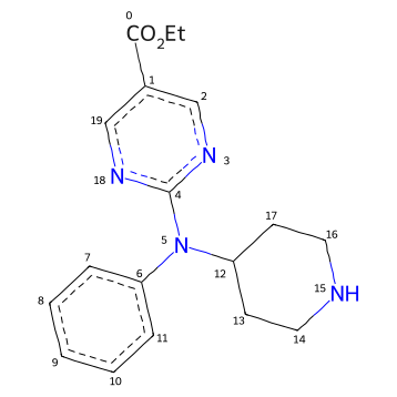 CCOC(=O)c1cnc(N(c2ccccc2)C2CCNCC2)nc1